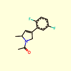 CC(=O)N1CC(c2cc(F)ccc2F)=CC1C